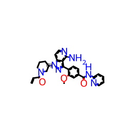 C=CC(=O)N1CCC[C@@H](n2nc(-c3ccc(C(=O)Nc4ccccn4)cc3OC)c3c(N)nccc32)C1